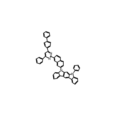 c1ccc(-c2ccc(-c3cc(-c4ccccc4)nc(-c4ccc5ccc(-n6c7ccccc7c7cc8c9ccccc9n(-c9ccccc9)c8cc76)cc5c4)n3)cc2)cc1